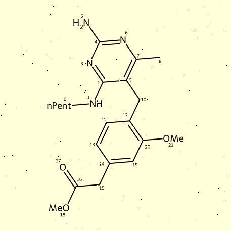 CCCCCNc1nc(N)nc(C)c1Cc1ccc(CC(=O)OC)cc1OC